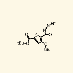 CC(C)(C)OC(=O)c1cc(OC(C)(C)C)c(C(=O)N=[N+]=[N-])s1